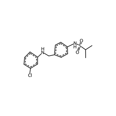 CC(C)S(=O)(=O)Nc1ccc(CNc2cccc(Cl)c2)cc1